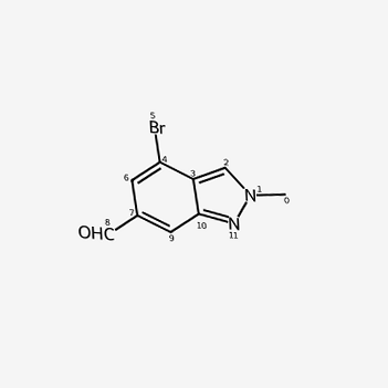 Cn1cc2c(Br)cc(C=O)cc2n1